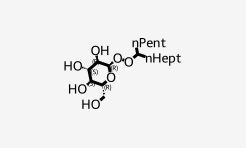 CCCCCCCC(CCCCC)OO[C@H]1O[C@H](CO)[C@@H](O)[C@H](O)[C@H]1O